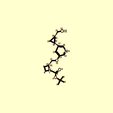 CC(C)(C)OC(=O)N1CC[C@H]1COc1cncc([C@H]2C[C@H]2CO)c1